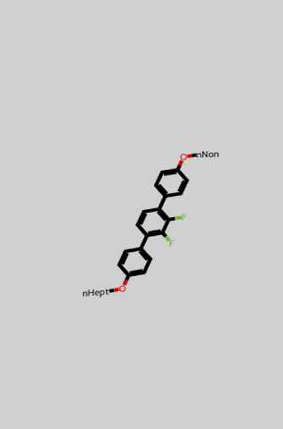 CCCCCCCCCOc1ccc(-c2ccc(-c3ccc(OCCCCCCC)cc3)c(F)c2F)cc1